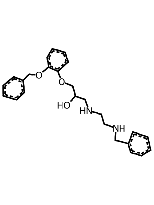 OC(CNCCNCc1ccccc1)COc1ccccc1OCc1ccccc1